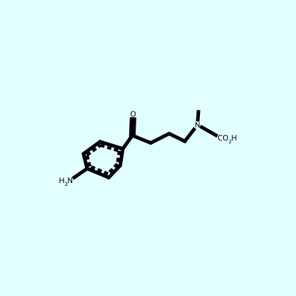 CN(CCCC(=O)c1ccc(N)cc1)C(=O)O